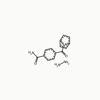 NC(=O)c1ccc(C(=O)n2c3ccc2cc3)cc1.NN